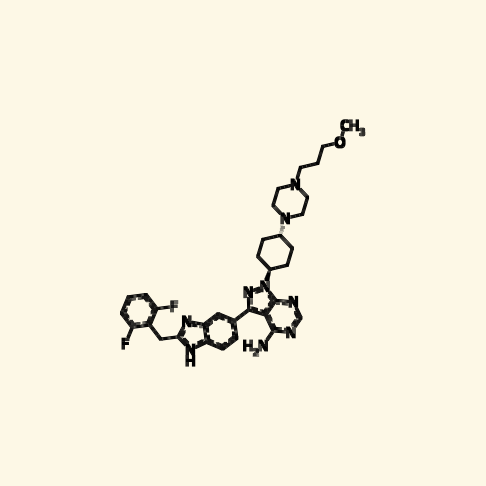 COCCCN1CCN([C@H]2CC[C@H](n3nc(-c4ccc5[nH]c(Cc6c(F)cccc6F)nc5c4)c4c(N)ncnc43)CC2)CC1